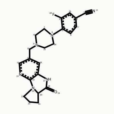 N#Cc1ccc(N2CCN(Cc3cnc4c(c3)NC(=O)C3CCCN43)CC2)c(F)c1